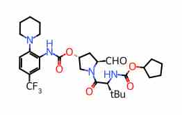 CC(C)(C)[C@H](NC(=O)OC1CCCC1)C(=O)N1C[C@H](OC(=O)Nc2cc(C(F)(F)F)ccc2N2CCCCC2)C[C@H]1C=O